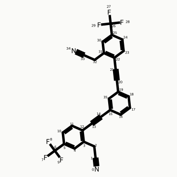 N#CCc1cc(C(F)(F)F)ccc1C#Cc1cccc(C#Cc2ccc(C(F)(F)F)cc2CC#N)c1